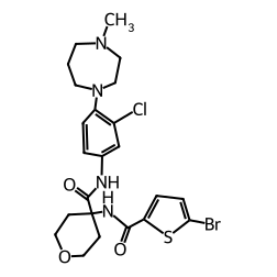 CN1CCCN(c2ccc(NC(=O)C3(NC(=O)c4ccc(Br)s4)CCOCC3)cc2Cl)CC1